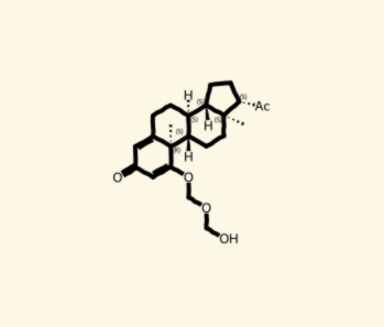 CC(=O)[C@H]1CC[C@H]2[C@@H]3CCC4=CC(=O)C=C(OCOCO)[C@]4(C)[C@H]3CC[C@]12C